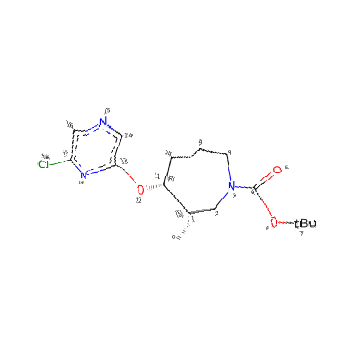 C[C@H]1CN(C(=O)OC(C)(C)C)CCC[C@H]1Oc1cncc(Cl)n1